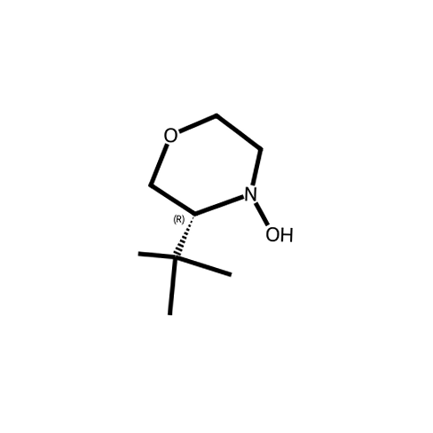 CC(C)(C)[C@@H]1COCCN1O